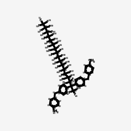 Nc1ccc(Cc2ccc(C(c3ccc(Cc4ccc(N)cc4)cc3)(C(F)(F)F)C(F)(F)C(F)(F)C(F)(F)C(F)(F)C(F)(F)C(F)(F)C(F)(F)C(F)(F)C(F)(F)C(F)(F)C(F)(F)C(F)(F)C(F)(F)C(F)(F)C(F)(F)F)cc2)cc1